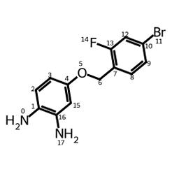 Nc1ccc(OCc2ccc(Br)cc2F)cc1N